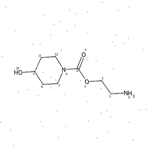 NCCOC(=O)N1CCC(O)CC1